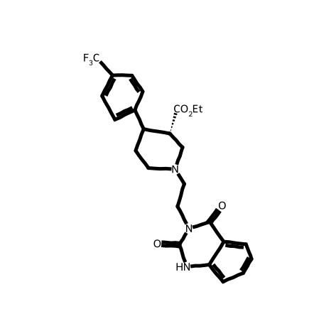 CCOC(=O)[C@@H]1CN(CCn2c(=O)[nH]c3ccccc3c2=O)CCC1c1ccc(C(F)(F)F)cc1